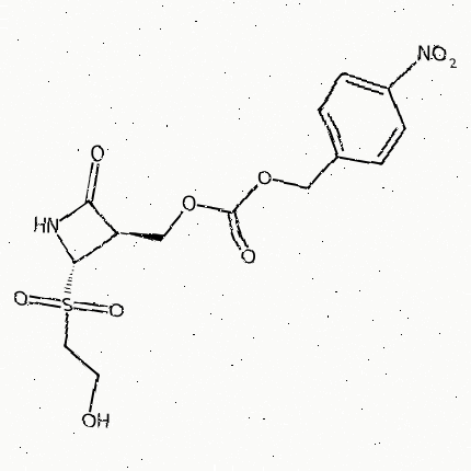 O=C(OCc1ccc([N+](=O)[O-])cc1)OC[C@@H]1C(=O)N[C@H]1S(=O)(=O)CCO